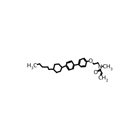 C=CC(=O)N(C)CCOc1ccc(-c2ccc(C3CCC(CCCCC)CC3)cc2)cc1